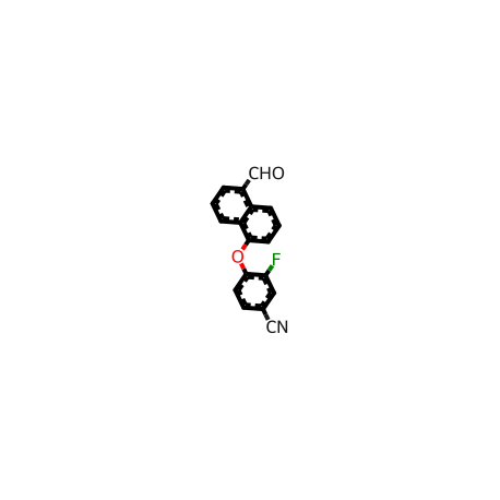 N#Cc1ccc(Oc2cccc3c(C=O)cccc23)c(F)c1